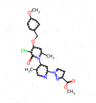 COC(=O)c1ccn(-c2cc(-n3c(C)cc(OCc4ccc(OC)cc4)c(Cl)c3=O)c(C)cn2)n1